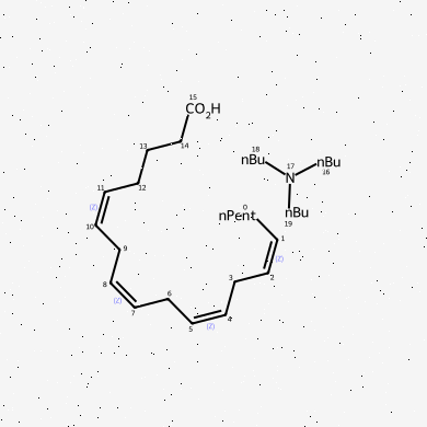 CCCCC/C=C\C/C=C\C/C=C\C/C=C\CCCC(=O)O.CCCCN(CCCC)CCCC